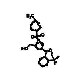 Cc1ccc(S(=O)(=O)n2cc(C(=O)c3ccccc3C(F)(F)F)cc2CO)cc1